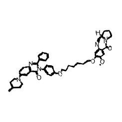 COc1cc2c(cc1OCCCCCCCOc1ccc(-n3c(-c4ccccc4)nc4ccc(N5CCC(C)CC5)cc4c3=O)cc1)N=C[C@@H]1CCCN1C2=O